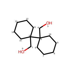 OCC1(C2(CO)CCCCC2)CCCCC1